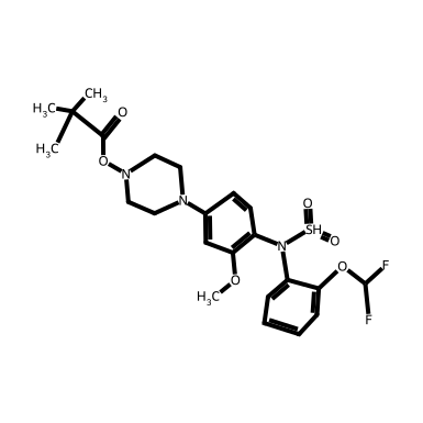 COc1cc(N2CCN(OC(=O)C(C)(C)C)CC2)ccc1N(c1ccccc1OC(F)F)[SH](=O)=O